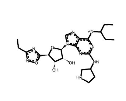 CCc1noc([C@H]2O[C@@H](n3cnc4c(NC(CC)CC)nc(NC5CCNC5)nc43)[C@H](O)[C@@H]2O)n1